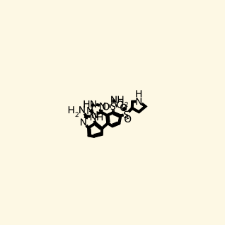 Nc1nc2cccc(-c3ccc(S(=O)(=O)C4CCNC4)c(S(N)(=O)=O)c3-c3nn[nH]n3)c2[nH]1